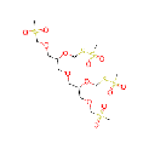 CS(=O)(=O)COCC(COCC(COCS(C)(=O)=O)OCSS(C)(=O)=O)OCSS(C)(=O)=O